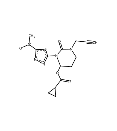 C#CCN1CCC(OC(=S)C2CC2)N(c2nnc([S+](C)[O-])s2)C1=O